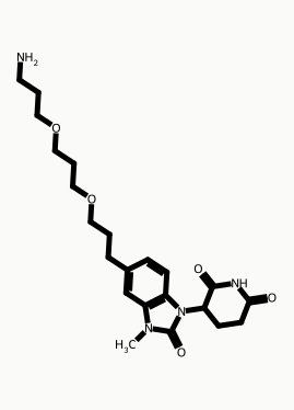 Cn1c(=O)n(C2CCC(=O)NC2=O)c2ccc(CCCOCCCOCCCN)cc21